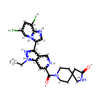 O=C1CC2(CCN(C(=O)c3cc4c(cn3)c(-c3cnc5c(F)cc(F)cn35)nn4CC(F)(F)F)CC2)CN1